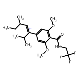 CCC(C)/C=C(/c1cc(OC)c(C(=O)NCC(F)(F)F)c(OC)c1)C(C)C